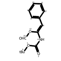 CC(C)(C)OC(=O)NC(=Cc1ccccc1)OC=O